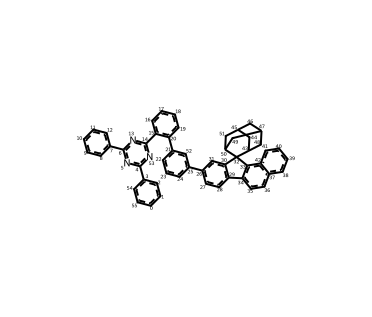 c1ccc(-c2nc(-c3ccccc3)nc(-c3ccccc3-c3cccc(-c4ccc5c(c4)C4(c6c-5ccc5ccccc65)C5CC6CC(C5)CC4C6)c3)n2)cc1